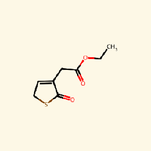 CCOC(=O)CC1=CCSC1=O